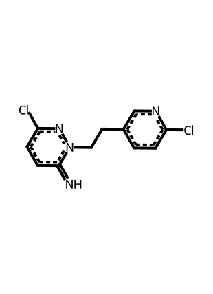 N=c1ccc(Cl)nn1CCc1ccc(Cl)nc1